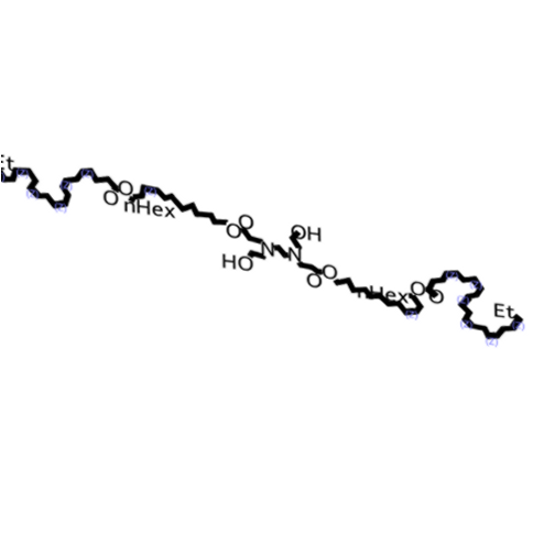 CC/C=C\C/C=C\C/C=C\C/C=C\C/C=C\C/C=C\CCC(=O)OC(C/C=C\CCCCCCCCOC(=O)CCN(CCO)CCN(CCO)CCC(=O)OCCCCCCCC/C=C\CC(CCCCCC)OC(=O)CC/C=C\C/C=C\C/C=C\C/C=C\C/C=C\C/C=C\CC)CCCCCC